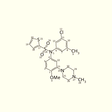 COc1ccc(N(c2cc(C)cc(Cl)c2)S(=O)(=O)c2cccs2)cc1N1CCN(C)CC1